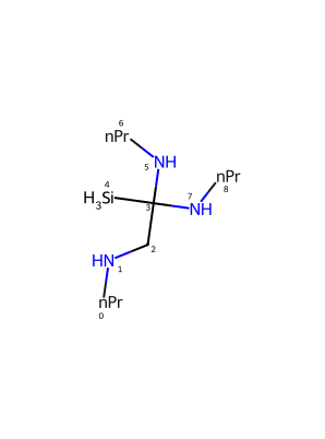 CCCNCC([SiH3])(NCCC)NCCC